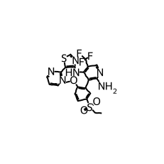 CCS(=O)(=O)c1ccc(OC)c(-c2c(N)ncc(C(F)(F)F)c2Nc2ncsc2-c2ncccn2)c1